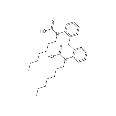 CCCCCCCN(C(O)=S)c1ccccc1Cc1ccccc1N(CCCCCCC)C(O)=S